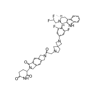 C[C@@H]1Cc2c([nH]c3ccccc23)[C@@H](c2c(F)cc(N3CC4(CCN(CC(=O)N5Cc6cc7c(cc6C5)C(=O)N(C5CCC(=O)NC5=O)C7)C4)C3)cc2F)N1CC(F)F